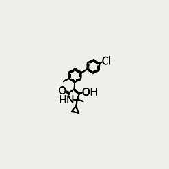 Cc1ccc(-c2ccc(Cl)cc2)cc1C1=C(O)C(C)(C2CC2)NC1=O